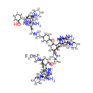 Nc1nnc(-c2ccccc2O)cc1N1CC2CCC(C1)N2c1ccnc(C#CCN2CC(c3ccc(Oc4ccccc4-c4cc(N5CC6CCC(C5)N6c5ccnc(C#CCN6CC7(CC7Oc7ccccc7-c7cc(N8CC9CCC(C8)N9c8ccnc(C#CCN9CC(C(F)(F)F)C9)c8)c(N)nn7)C6)c5)c(N)nn4)cc3)C2)c1